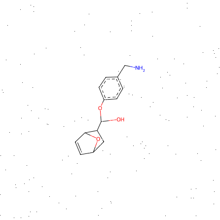 NCc1ccc(OC(O)C2CC3C=CC2O3)cc1